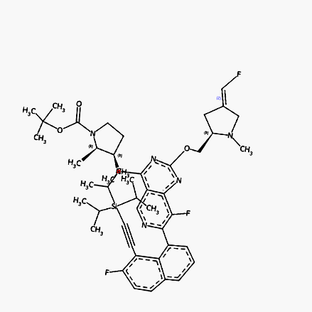 CC(C)[Si](C#Cc1c(F)ccc2cccc(-c3ncc4c(N(C)[C@@H]5CCN(C(=O)OC(C)(C)C)[C@@H]5C)nc(OC[C@H]5C/C(=C/F)CN5C)nc4c3F)c12)(C(C)C)C(C)C